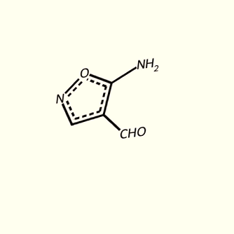 Nc1oncc1C=O